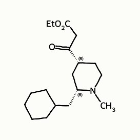 CCOC(=O)CC(=O)[C@@H]1CCN(C)[C@H](CC2CCCCC2)C1